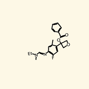 CCN(C)C=Nc1cc(C)c(C2(OC(=O)c3ccccc3)COC2)cc1F